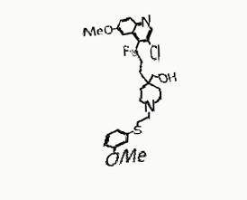 COc1cccc(SCCN2CCC(CO)(CC[C@H](F)c3c(Cl)cnc4ccc(OC)cc34)CC2)c1